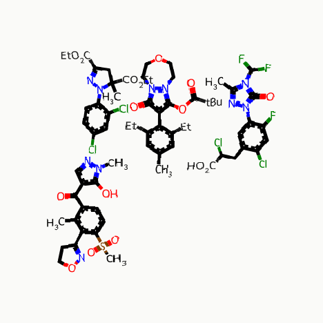 CCOC(=O)C1=NN(c2ccc(Cl)cc2Cl)C(C)(C(=O)OCC)C1.CCc1cc(C)cc(CC)c1-c1c(OC(=O)C(C)(C)C)n2n(c1=O)CCOCC2.Cc1c(C(=O)c2cnn(C)c2O)ccc(S(C)(=O)=O)c1C1=NOCC1.Cc1nn(-c2cc(CC(Cl)C(=O)O)c(Cl)cc2F)c(=O)n1C(F)F